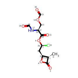 C[C@@H]1C(=O)O[C@H]1C[C@H](Cl)OC(=O)[C@H](COC=O)NC=O